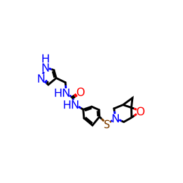 O=C(NCc1cn[nH]c1)Nc1ccc(SN2CC3CC34OC4C2)cc1